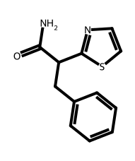 NC(=O)C(Cc1ccccc1)c1nccs1